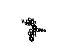 C=C(C)C(=O)Nc1ccc(OC)c(NC(=O)CC(=O)c2ccccc2)c1